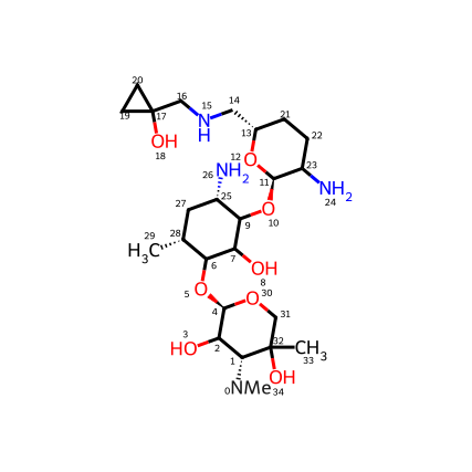 CN[C@@H]1C(O)[C@@H](OC2C(O)C(O[C@H]3O[C@H](CNCC4(O)CC4)CCC3N)[C@@H](N)C[C@H]2C)OCC1(C)O